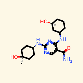 C[C@]1(O)CC[C@H](Nc2ncc(C(N)=O)c(NC3CCC[C@H](O)C3)n2)CC1